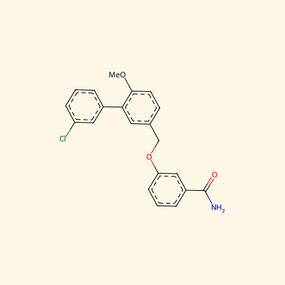 COc1ccc(COc2cccc(C(N)=O)c2)cc1-c1cccc(Cl)c1